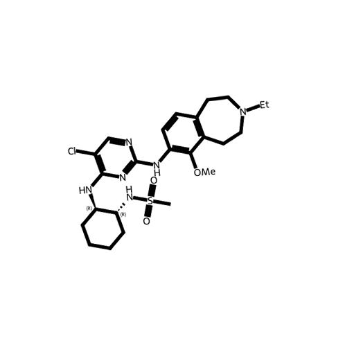 CCN1CCc2ccc(Nc3ncc(Cl)c(N[C@@H]4CCCC[C@H]4NS(C)(=O)=O)n3)c(OC)c2CC1